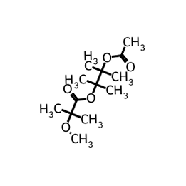 COC(C)(C)C(=O)OC(C)(C)C(C)(C)OC(C)=O